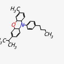 CCCCc1ccc(N2C3C=CC(C)=CC3OC3C=C(C(C)C)C=CC32)cc1